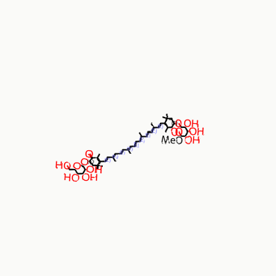 COC1OC(O[C@H]2CC(C)(C)C(/C=C/C(C)=C/C=C/C(C)=C/C=C/C=C(C)/C=C/C=C(C)/C=C/C3=C(C)C(=O)[C@@H](OC4OC(CO)C(O)C(O)C4O)CC3(C)C)=C(C)C2=O)C(O)C(O)C1O